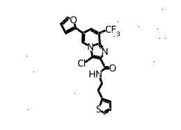 O=C(NCCc1cccs1)c1nc2c(C(F)(F)F)cc(-c3ccco3)cn2c1Cl